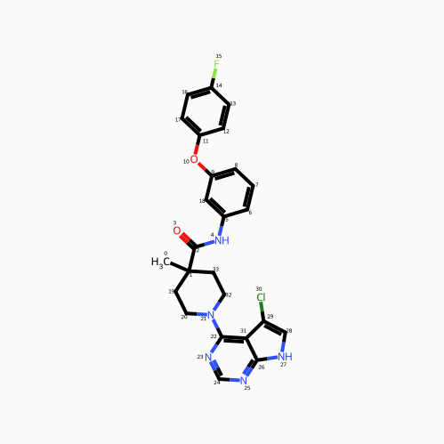 CC1(C(=O)Nc2cccc(Oc3ccc(F)cc3)c2)CCN(c2ncnc3[nH]cc(Cl)c23)CC1